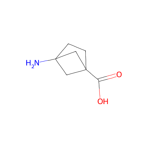 NC12CCC(C(=O)O)(C1)C2